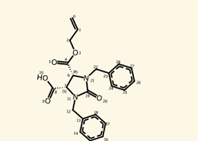 C=CCOC(=O)[C@H]1[C@@H](C(=O)O)N(Cc2ccccc2)C(=O)N1Cc1ccccc1